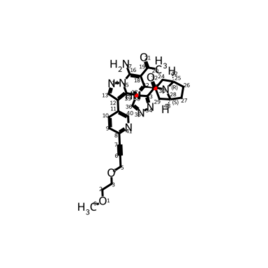 COCCOCC#Cc1ccc(-c2cnn3c(N)c(C(C)=O)c([C@H]4C[C@H]5CC[C@@H](C4)N5C(=O)c4nnc[nH]4)nc23)cn1